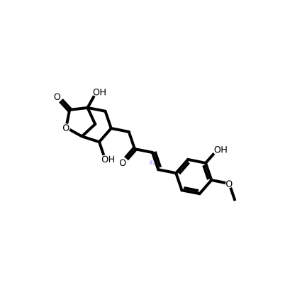 COc1ccc(/C=C/C(=O)CC2CC3(O)CC(OC3=O)C2O)cc1O